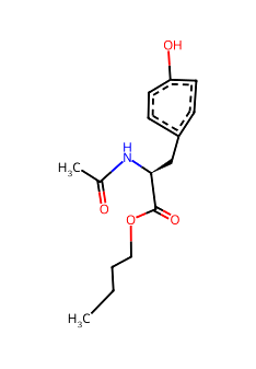 CCCCOC(=O)[C@H](Cc1ccc(O)cc1)NC(C)=O